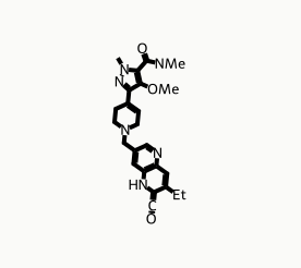 CCC1=Cc2ncc(CN3CC=C(c4nn(C)c(C(=O)NC)c4OC)CC3)cc2NC1=C=O